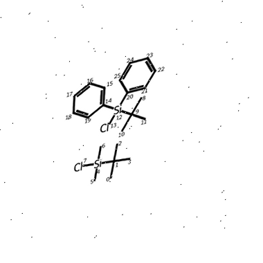 CC(C)(C)[Si](C)(C)Cl.CC(C)(C)[Si](Cl)(c1ccccc1)c1ccccc1